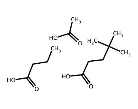 CC(=O)O.CC(C)(C)CCC(=O)O.CCCC(=O)O